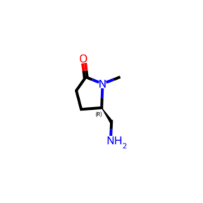 CN1C(=O)CC[C@@H]1CN